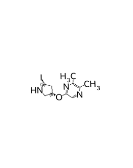 Cc1ncc(O[C@H]2CN[C@@H](I)C2)nc1C